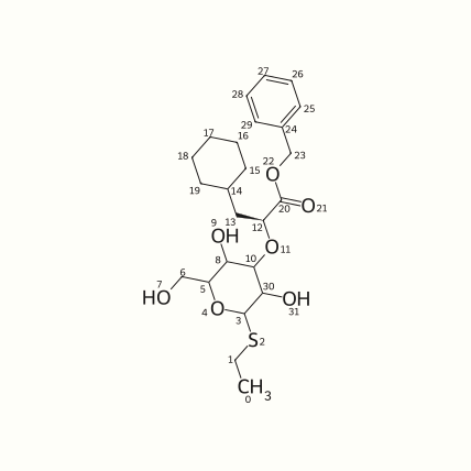 CCSC1OC(CO)C(O)C(O[C@@H](CC2CCCCC2)C(=O)OCc2ccccc2)C1O